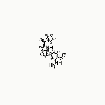 CNNC1C=C(N2COc3cc(C(=O)N4CCCC4)[nH]c32)C=CN1C=O